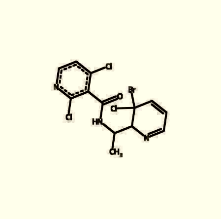 CC(NC(=O)c1c(Cl)ccnc1Cl)C1N=CC=CC1(Cl)Br